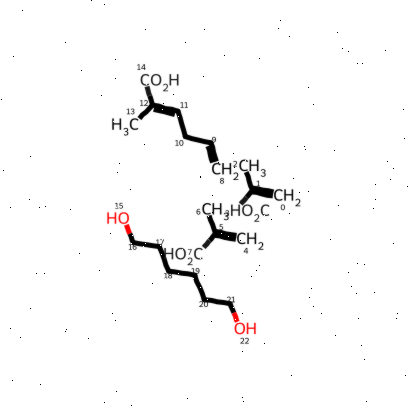 C=C(C)C(=O)O.C=C(C)C(=O)O.C=CCC=C(C)C(=O)O.OCCCCCCO